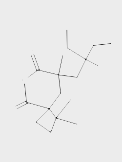 CCC(C)(CC)CC1(C)CC2(CCC2(C)C)C(=O)OC1=O